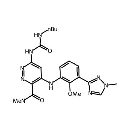 CCCCNC(=O)Nc1cc(Nc2cccc(-c3ncn(C)n3)c2OC)c(C(=O)NC)nn1